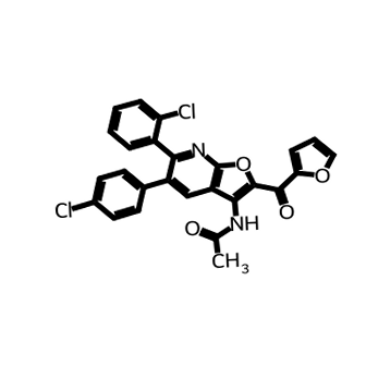 CC(=O)Nc1c(C(=O)c2ccco2)oc2nc(-c3ccccc3Cl)c(-c3ccc(Cl)cc3)cc12